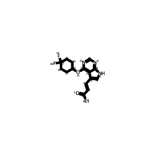 CCC(=O)/C=C/c1c[nH]c2ncnc(OC3CCC(F)(F)CC3)c12